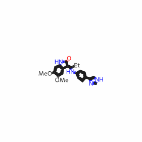 CCC(Nc1ccc(-c2c[nH]cn2)cc1)=C1C(=O)Nc2cc(OC)c(OC)cc21